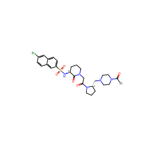 CCC(=O)N1CCN(C[C@@H]2CCCN2C(=O)CN2CCC[C@H](NS(=O)(=O)c3ccc4cc(Br)ccc4c3)C2=O)CC1